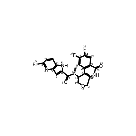 CN(C(=O)c1cc2nc(Br)ccc2[nH]1)C1COCc2[nH]c(=O)c3cc(F)c(F)cc3c21